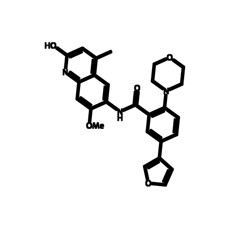 COc1cc2nc(O)cc(C)c2cc1NC(=O)c1cc(-c2ccoc2)ccc1N1CCOCC1